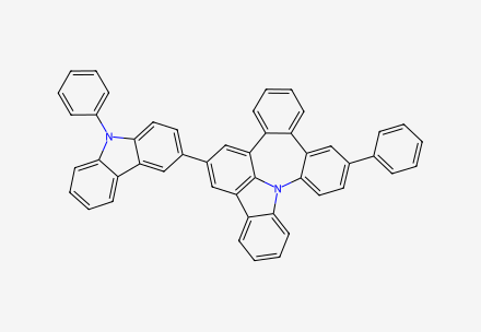 c1ccc(-c2ccc3c(c2)-c2ccccc2-c2cc(-c4ccc5c(c4)c4ccccc4n5-c4ccccc4)cc4c5ccccc5n-3c24)cc1